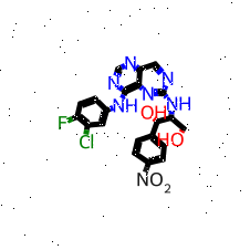 O=[N+]([O-])c1ccc(C(O)C(CO)Nc2ncc3ncnc(Nc4ccc(F)c(Cl)c4)c3n2)cc1